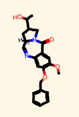 COc1cc2c(cc1OCc1ccccc1)N=C[C@@H]1CC(C(C)O)CN1C2=O